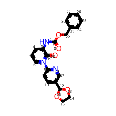 O=C(Nc1cccn(-c2ccc(C3OCCO3)cn2)c1=O)OCc1ccccc1